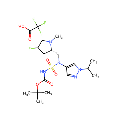 CC(C)n1cc(N(C[C@@H]2C[C@@H](F)CN2C)S(=O)(=O)NC(=O)OC(C)(C)C)cn1.O=C(O)C(F)(F)F